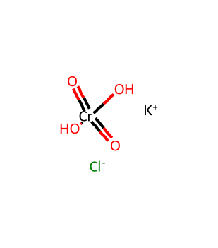 [Cl-].[K+].[O]=[Cr](=[O])([OH])[OH]